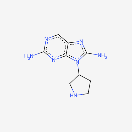 Nc1ncc2nc(N)n(C3CCNC3)c2n1